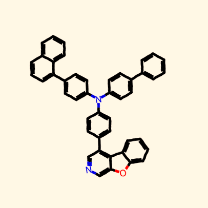 c1ccc(-c2ccc(N(c3ccc(-c4cccc5ccccc45)cc3)c3ccc(-c4cncc5oc6ccccc6c45)cc3)cc2)cc1